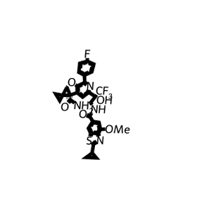 COc1cc(C(=O)NCC(O)(c2cc3c(c(-c4ccc(F)cc4)n2)OC2C4(CC4)[C@@]32C(N)=O)C(F)(F)F)cc2sc(C3CC3)nc12